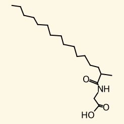 CCCCCCCCCCCCCCC(C)C(=O)NCC(=O)O